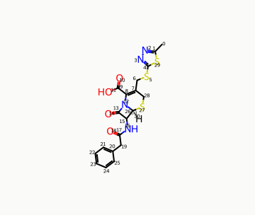 Cc1nnc(SCC2=C(C(=O)O)N3C(=O)C(NC(=O)Cc4ccccc4)[C@@H]3SC2)s1